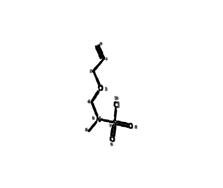 C=CCOCN(C)S(=O)(=O)Cl